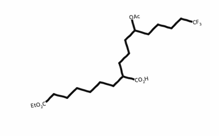 CCOC(=O)CCCCCCC(CCCC(CCCCC(F)(F)F)OC(C)=O)C(=O)O